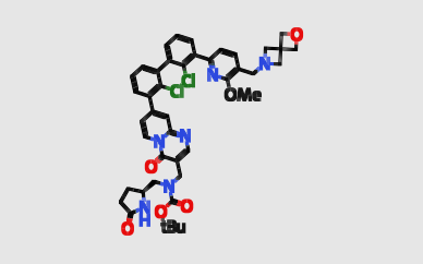 COc1nc(-c2cccc(-c3cccc(-c4ccn5c(=O)c(CN(C[C@@H]6CCC(=O)N6)C(=O)OC(C)(C)C)cnc5c4)c3Cl)c2Cl)ccc1CN1CC2(COC2)C1